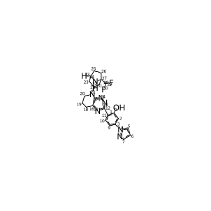 Oc1cc(-n2cccn2)ccc1-c1nnc2c(n1)CCCN2[C@H]1C[C@@H]2CC[C@](C(F)F)(C1)N2